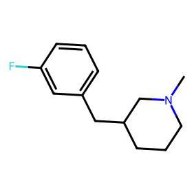 CN1CCCC(Cc2cccc(F)c2)C1